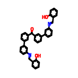 O=C(c1cccc(-c2cccc(N=Cc3ccccc3O)c2)c1)c1cccc(-c2cccc(N=Cc3ccccc3O)c2)c1